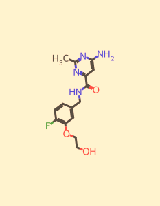 Cc1nc(N)cc(C(=O)NCc2ccc(F)c(OCCO)c2)n1